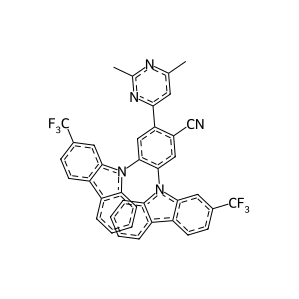 Cc1cc(-c2cc(-n3c4ccccc4c4ccc(C(F)(F)F)cc43)c(-n3c4ccccc4c4ccc(C(F)(F)F)cc43)cc2C#N)nc(C)n1